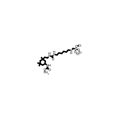 CCO[Si](CNCCCCCCNC(=O)NCCC1(C)CC(NC(=O)OP)CC(C)(C)C1)(OCC)OCC